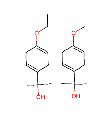 CCOC1=CCC(C(C)(C)O)=CC1.COC1=CCC(C(C)(C)O)=CC1